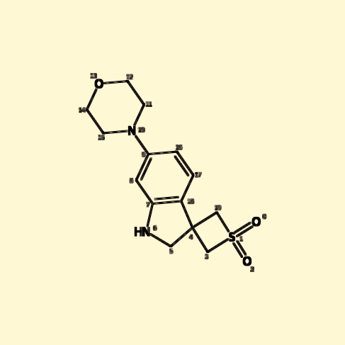 O=S1(=O)CC2(CNc3cc(N4CCOCC4)ccc32)C1